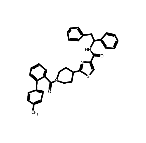 O=C(NC(Cc1ccccc1)c1ccccc1)c1csc(C2CCN(C(=O)c3ccccc3-c3ccc(C(F)(F)F)cc3)CC2)n1